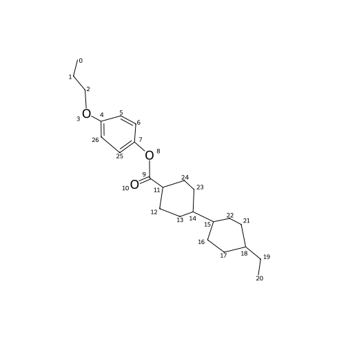 CCCOc1ccc(OC(=O)C2CCC(C3CCC(CC)CC3)CC2)cc1